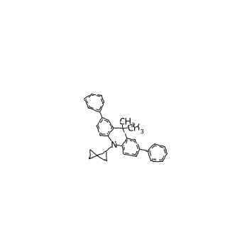 CC1(C)c2cc(-c3ccccc3)ccc2N(C2CC23CC3)c2ccc(-c3ccccc3)cc21